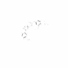 CCOc1cc(CN2CCC3(CC2)CC(c2ccc(C(=O)O)cc2)=NO3)cc(OCC)c1OC